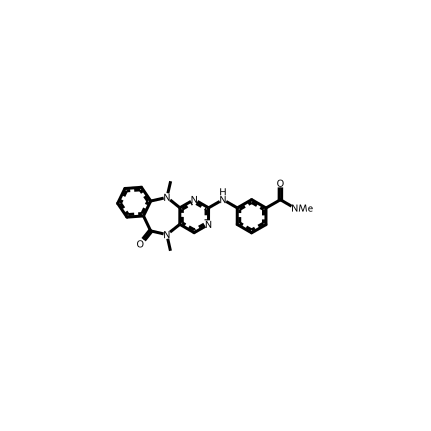 CNC(=O)c1cccc(Nc2ncc3c(n2)N(C)c2ccccc2C(=O)N3C)c1